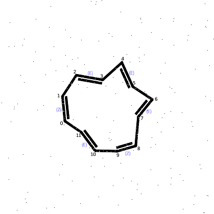 C1=C\C=C\C=C\C=C\C=C/C=C/1